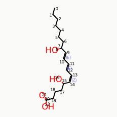 CCCCCCCC(O)/C=C/C=C/C=C\C(O)CCCC(=O)O